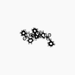 O=C(N[C@@H]1CCCC[C@@H]1C(=O)N1CC[C@@H]2[C@H](C3CCN(C(=O)OCc4ccccc4)CC3)Nc3ccccc3[C@@H]21)c1ccccc1